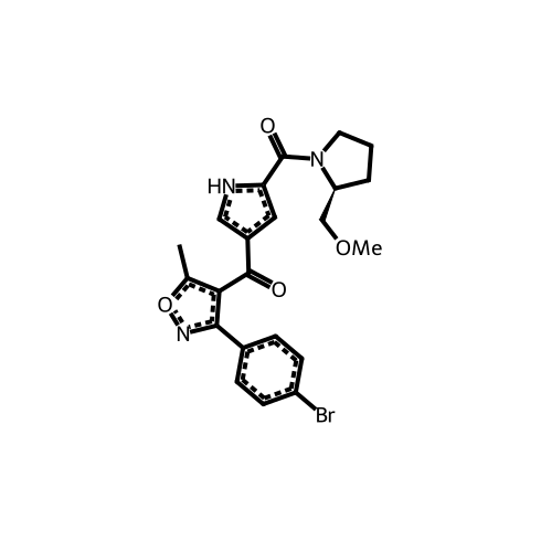 COC[C@@H]1CCCN1C(=O)c1cc(C(=O)c2c(-c3ccc(Br)cc3)noc2C)c[nH]1